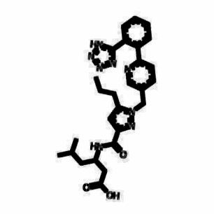 CCCc1cc(C(=O)NC(CC(=O)O)CC(C)C)nn1Cc1ccc(-c2ccccc2-c2nnn[nH]2)nc1